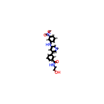 O=C(NCCO)c1cccc(-c2cncc(Nc3cccc([N+](=O)[O-])c3)c2)c1